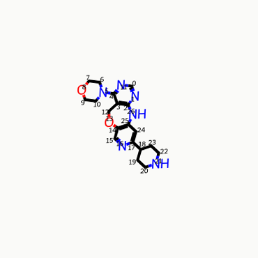 c1nc2c(c(N3CCOCC3)n1)COc1cnc(C3CCNCC3)cc1N2